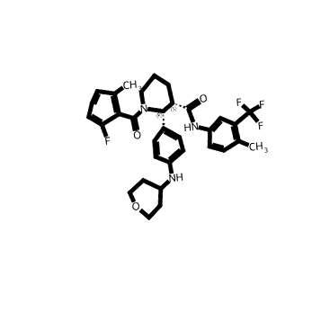 Cc1ccc(NC(=O)[C@H]2CCCN(C(=O)c3c(C)cccc3F)[C@H]2c2ccc(NC3CCOCC3)cc2)cc1C(F)(F)F